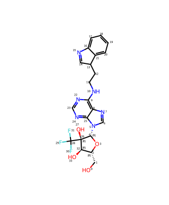 OC[C@H]1O[C@@H](n2cnc3c(NCCC4C=Nc5ccccc54)ncnc32)[C@@](O)(C(F)(F)F)[C@@H]1O